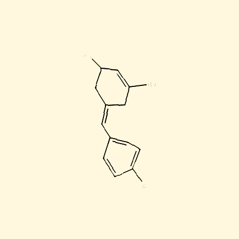 CCc1ccc(C=C2CC(C(C)(C)C)=CC(C(C)(C)C)C2)cc1